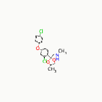 CNC[C@@]1(c2ccc(Oc3ccc(Cl)cc3)cc2Cl)OCC(C)O1